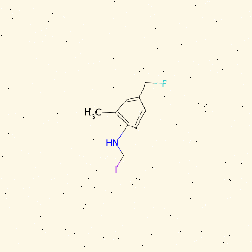 Cc1cc(CF)ccc1NCI